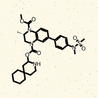 COC(=O)N1c2ccc(-c3ccc(N(C)S(C)(=O)=O)cc3)cc2N(C(=O)OC2CC3(CCCCC3)CCN2)C[C@@H]1C